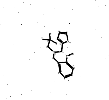 COc1ccccc1CN(Cc1cccs1)CC(C)(C)C